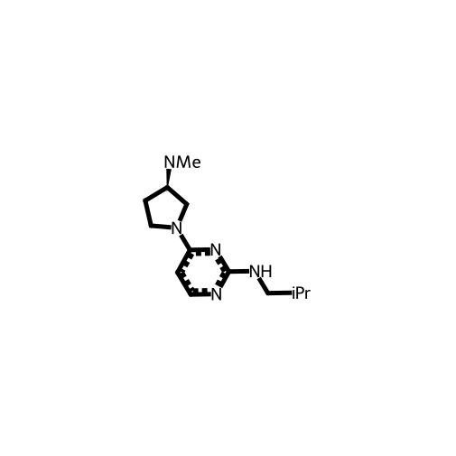 CN[C@@H]1CCN(c2ccnc(NCC(C)C)n2)C1